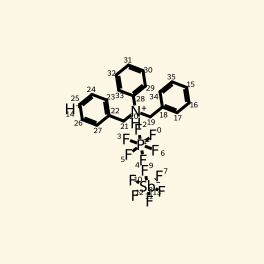 F[P-](F)(F)(F)(F)F.[F][Sb-]([F])([F])([F])([F])[F].[H+].c1ccc(C[NH+](Cc2ccccc2)c2ccccc2)cc1